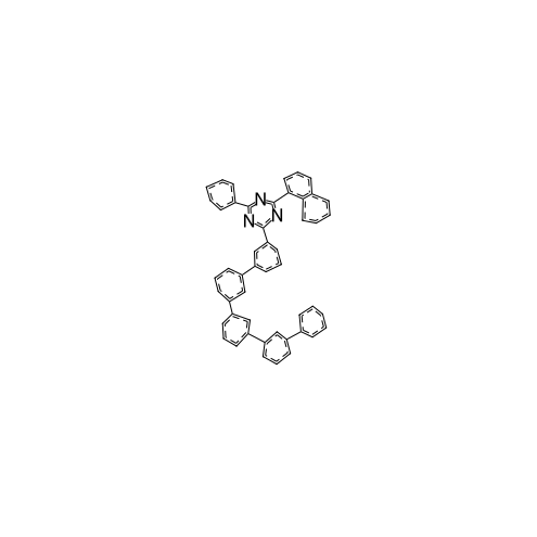 c1ccc(-c2cccc(-c3cccc(-c4cccc(-c5cccc(-c6nc(-c7ccccc7)nc(-c7cccc8ccccc78)n6)c5)c4)c3)c2)cc1